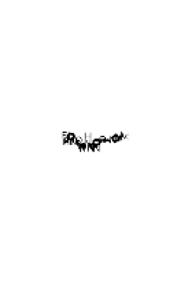 CC(=O)N1CCN(CCCOc2ccc3c(Nc4cnn(CC(=O)Nc5cccc(F)c5F)c4)ncnc3c2)CC1